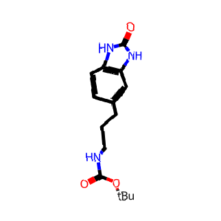 CC(C)(C)OC(=O)NCCCc1ccc2[nH]c(=O)[nH]c2c1